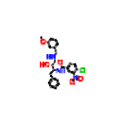 COc1cccc(CNC[C@@H](O)[C@H](Cc2ccccc2)NC(=O)c2ccc(Cl)c([N+](=O)[O-])c2)c1